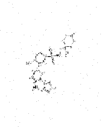 Cc1ccc(S(=O)(=O)NCC2(O)CCOCC2)cc1-c1cnc(N)c(-n2cncn2)n1